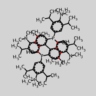 CC(C)c1cc(P(c2cc(C(C)C)c(N(C)C)c(C(C)C)c2)c2cccc(CO)c2-c2c(CO)cccc2P(c2cc(C(C)C)c(N(C)C)c(C(C)C)c2)c2cc(C(C)C)c(N(C)C)c(C(C)C)c2)cc(C(C)C)c1N(C)C